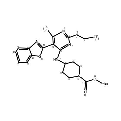 Cc1nc(NCC(F)(F)F)nc(NC2CCN(C(=O)OC(C)(C)C)CC2)c1-c1nc2ccccc2s1